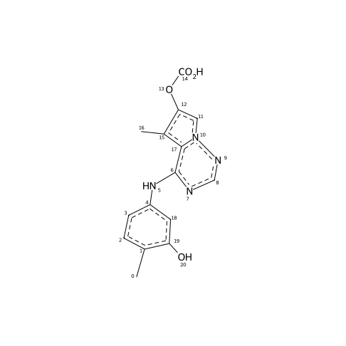 Cc1ccc(Nc2ncnn3cc(OC(=O)O)c(C)c23)cc1O